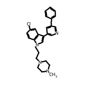 CN1CCN(CCCn2cc(-c3cncc(-c4ccccc4)c3)c3cc(Cl)ccc32)CC1